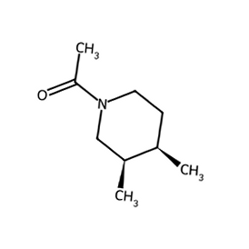 CC(=O)N1CC[C@@H](C)[C@@H](C)C1